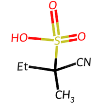 CCC(C)(C#N)S(=O)(=O)O